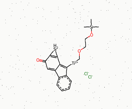 C[Si](C)(C)OCCO[CH2][Ti+2][C]1=C2C(=CC(=O)C3=C2[SiH2]3)c2ccccc21.[Cl-].[Cl-]